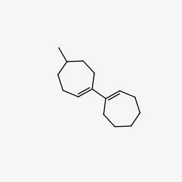 CC1CCC=C(C2=CCCCCC2)CC1